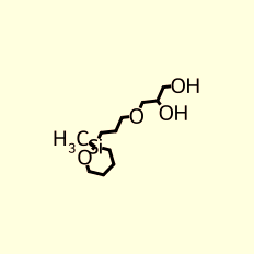 C[Si]1(CCCOCC(O)CO)CCCCO1